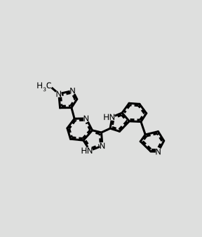 Cn1cc(-c2ccc3[nH]nc(-c4cc5c(-c6ccncc6)cccc5[nH]4)c3n2)cn1